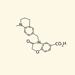 CN1CCCc2cc(CN3C(=O)COc4ccc(C(=O)O)cc43)ccc21